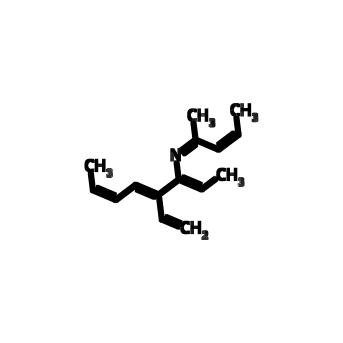 C=CC(=C\C=C/C)/C(=C/C)/N=C(C)\C=C/C